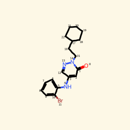 O=c1cc(Nc2ccccc2Br)cnn1CCC1CCCCC1